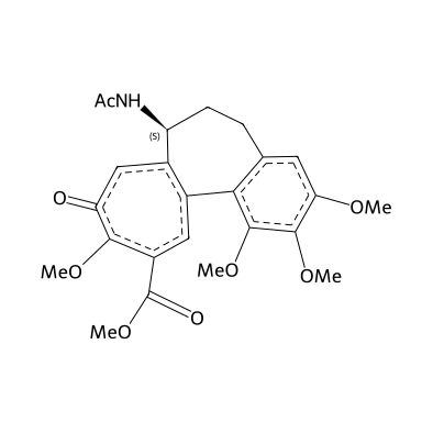 COC(=O)c1cc2c(cc(=O)c1OC)[C@@H](NC(C)=O)CCc1cc(OC)c(OC)c(OC)c1-2